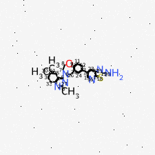 Cc1nc2c(c(N3CCOc4ccc(-c5cnc6sc(N)nc6c5)cc4C3)n1)CC(C)(C)CC2